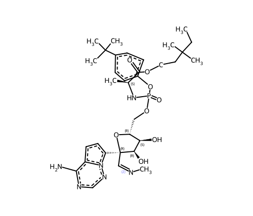 CCC(C)(C)CCOC(=O)[C@H](C)NP(=O)(OC[C@H]1O[C@@](/C=N\C)(c2ccc3c(N)ncnn23)[C@H](O)[C@@H]1O)Oc1ccc(C(C)(C)C)cc1